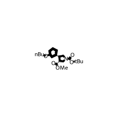 CCCCOc1cccc([C@@H]2CN(C(=O)OC(C)(C)C)C[C@@H]2C(=O)OC)c1